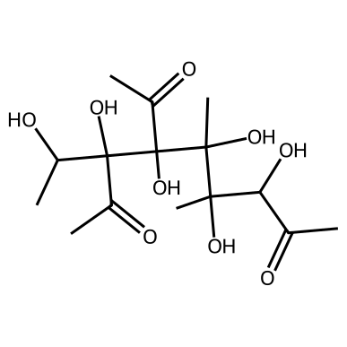 CC(=O)C(O)C(C)(O)C(C)(O)C(O)(C(C)=O)C(O)(C(C)=O)C(C)O